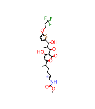 COC(=O)N/C=C/CCC(C)c1cc(O)c(C(=O)C(C)C(O)c2ccc(OCCC(F)(F)F)s2)c(=O)o1